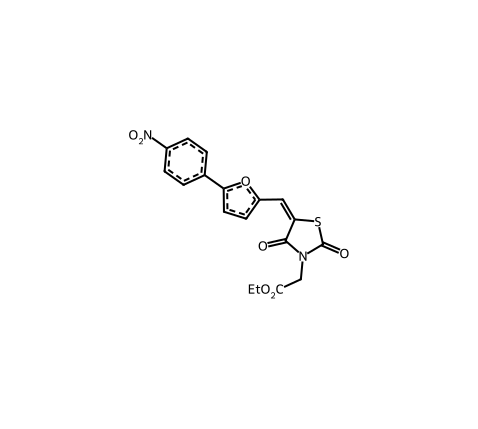 CCOC(=O)CN1C(=O)SC(=Cc2ccc(-c3ccc([N+](=O)[O-])cc3)o2)C1=O